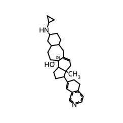 CC12CC=C3CC4CCC(NC5CC5)CC4CC[C@]3(O)C1CCC2C1=Cc2cnccc2CC1